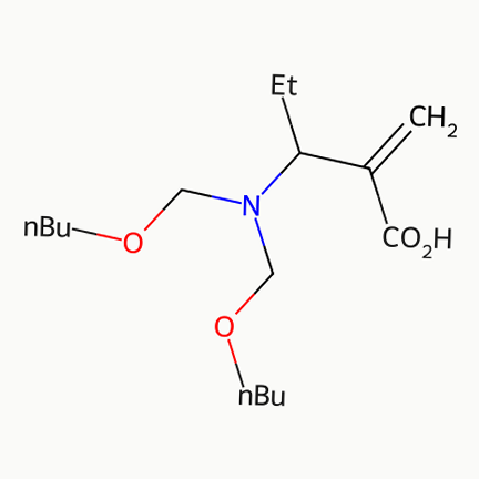 C=C(C(=O)O)C(CC)N(COCCCC)COCCCC